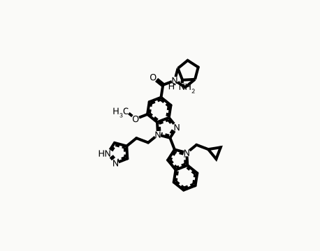 COc1cc(C(=O)N2CC3CCC2[C@@H]3N)cc2nc(-c3cc4ccccc4n3CC3CC3)n(CCc3cn[nH]c3)c12